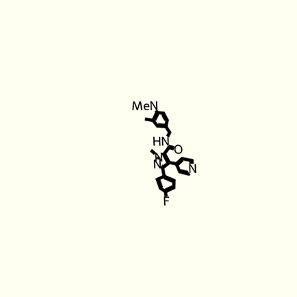 CNc1ccc(CNC(=O)c2c(-c3ccncc3)c(-c3ccc(F)cc3)nn2C)cc1C